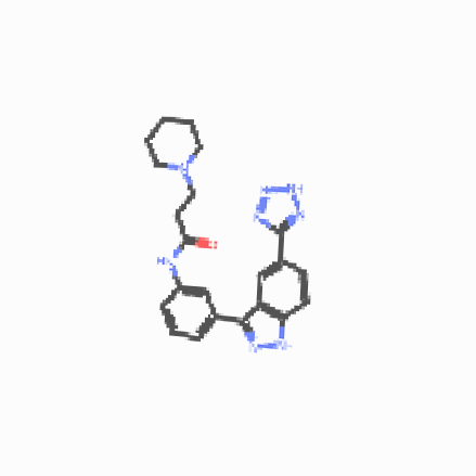 O=C(CCN1CCCCC1)Nc1cccc(-c2n[nH]c3ccc(-c4nn[nH]n4)cc23)c1